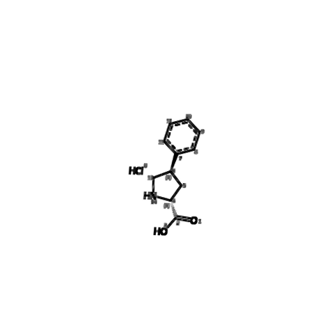 Cl.O=C(O)[C@H]1C[C@H](c2ccccc2)CN1